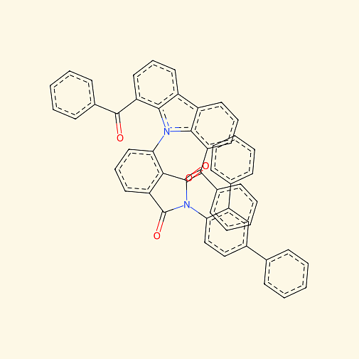 O=C(c1ccccc1)c1cccc2c3cccc(C(=O)c4ccccc4)c3n(-c3cccc4c3C(=O)N(c3ccc(-c5ccccc5)cc3-c3ccccc3)C4=O)c12